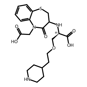 O=C(O)CN1C(=O)C(N[C@H](COCCC2CCNCC2)C(=O)O)CSc2ccccc21